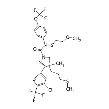 COCCSN(C(=O)N1CC(C)(CCCSC)C(c2ccc(C(F)(F)F)c(Cl)c2)=N1)c1ccc(OC(F)(F)F)cc1